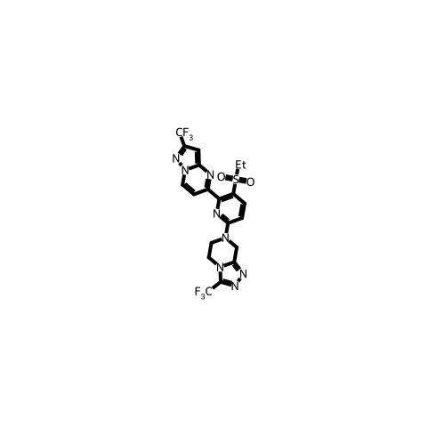 CCS(=O)(=O)c1ccc(N2CCn3c(nnc3C(F)(F)F)C2)nc1-c1ccn2nc(C(F)(F)F)cc2n1